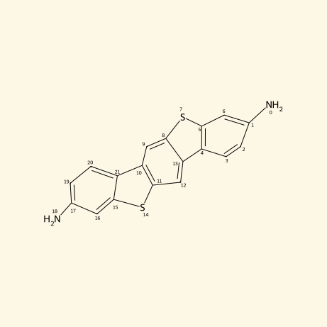 Nc1ccc2c(c1)sc1cc3c(cc12)sc1cc(N)ccc13